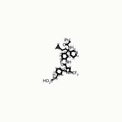 CC(C)CC(=O)NC(CCC1CC1)(c1cccnc1)c1ccc(F)c(NC(=O)c2cc(C(F)(F)F)nn2-c2cccc(CNC(=O)O)c2)c1